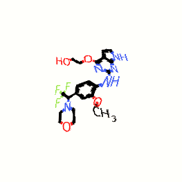 COc1cc(C(N2CCOCC2)C(F)(F)F)ccc1Nc1nc(OCCO)c2cc[nH]c2n1